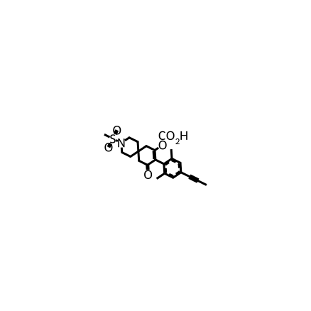 CC#Cc1cc(C)c(C2=C(OC(=O)O)CC3(CCN(S(C)(=O)=O)CC3)CC2=O)c(C)c1